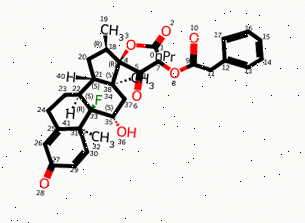 CCCC(=O)O[C@]1(C(=O)COC(=O)Cc2ccccc2)[C@H](C)C[C@H]2[C@@H]3CCC4=CC(=O)C=C[C@]4(C)[C@@]3(F)[C@@H](O)C[C@@]21C